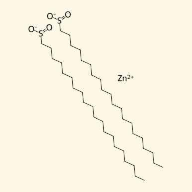 CCCCCCCCCCCCCCCCCCCCS(=O)[O-].CCCCCCCCCCCCCCCCCCCCS(=O)[O-].[Zn+2]